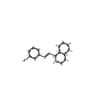 Fc1cccc(C=Cc2nccc3ccccc23)c1